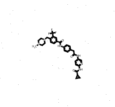 CN1CCN(Cc2ccc(C(=O)Nc3ccc(CC(=O)Nc4ccc(NC(=O)C5CC5)nc4)cc3)cc2C(F)(F)F)CC1